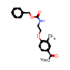 COC(=O)c1ccc(OCCNC(=O)OCc2ccccc2)c(C(F)(F)F)c1